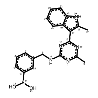 Cc1nc(NCc2cccc(B(O)O)c2)nc(-c2c(C)[nH]c3ccccc23)n1